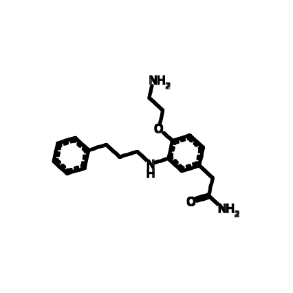 NCCOc1ccc(CC(N)=O)cc1NCCCc1ccccc1